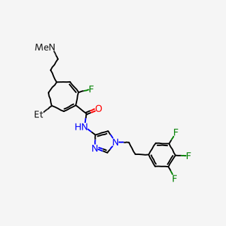 CCC1C=C(C(=O)Nc2cn(CCc3cc(F)c(F)c(F)c3)cn2)C(F)=CC(CCNC)C1